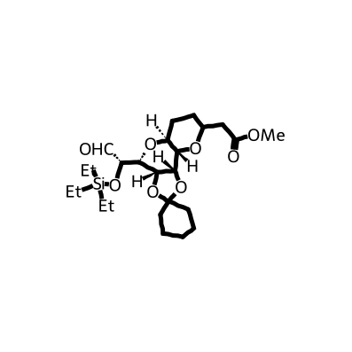 CC[Si](CC)(CC)O[C@H](C=O)[C@@H]1O[C@H]2CCC(CC(=O)OC)O[C@@H]2[C@@H]2OC3(CCCCC3)O[C@@H]21